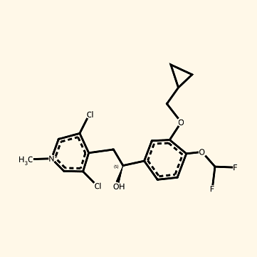 C[n+]1cc(Cl)c(C[C@H](O)c2ccc(OC(F)F)c(OCC3CC3)c2)c(Cl)c1